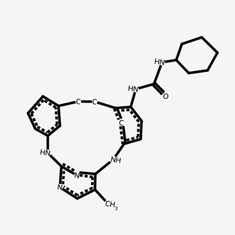 Cc1cnc2nc1Nc1ccc(NC(=O)NC3CCCCC3)c(c1)CCc1cccc(c1)N2